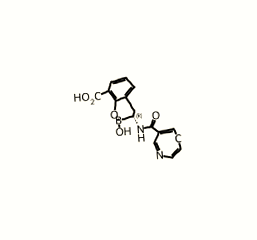 O=C(N[C@H]1Cc2cccc(C(=O)O)c2OB1O)C1=CCC=CN=C1